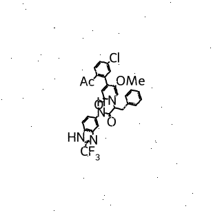 COc1cn(C(Cc2ccccc2)C(=O)Nc2ccc3[nH]c(C(F)(F)F)nc3c2)c(=O)cc1-c1cc(Cl)ccc1C(C)=O